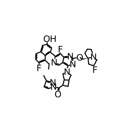 CCc1c(F)ccc2cc(O)cc(-c3ncc4c(N5CC6CC(C(=O)n7ccc(C)n7)C6C5)nc(OC[C@@]56CCCN5C[C@H](F)C6)nc4c3F)c12